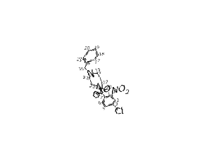 O=[N+]([O-])c1cc(Cl)ccc1S(=O)(=O)N1CCN(Cc2ccccc2)CC1